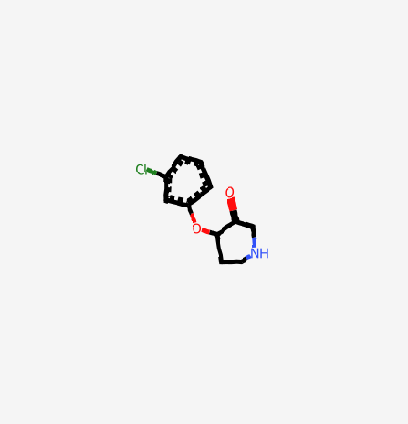 O=C1CNCCC1Oc1cccc(Cl)c1